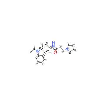 CC(C)n1c2ccccc2c2cc(NC(=O)CCN3CCCC3)ccc21